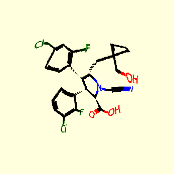 N#CN1[C@@H](CC2(CO)CC2)[C@@H](c2ccc(Cl)cc2F)[C@@H](c2cccc(Cl)c2F)[C@@H]1C(=O)O